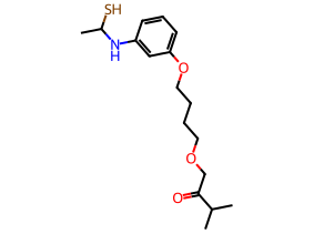 CC(S)Nc1cccc(OCCCCOCC(=O)C(C)C)c1